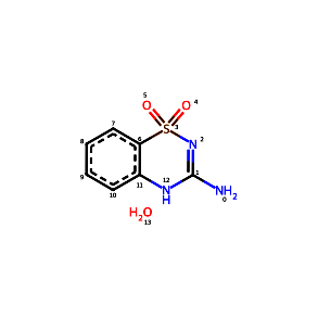 NC1=NS(=O)(=O)c2ccccc2N1.O